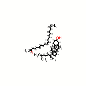 CC(C)CCCC(C)[C@H]1CC[C@H]2[C@@H]3CC=C4C[C@@H](O)CC[C@]4(C)[C@H]3CC[C@]12C.CCCCCCCC/C=C\CCCCCCCC(C)=O